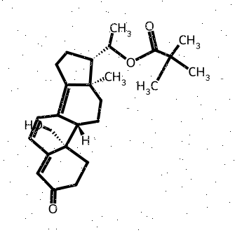 CC(OC(=O)C(C)(C)C)[C@H]1CCC2=C3C=CC4=CC(=O)CC[C@]4(CO)[C@H]3CC[C@@]21C